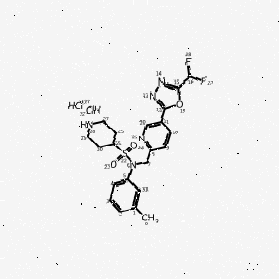 Cc1cccc(N(Cc2ccc(-c3nnc(C(F)F)o3)cn2)S(=O)(=O)C2CCNCC2)c1.Cl.Cl